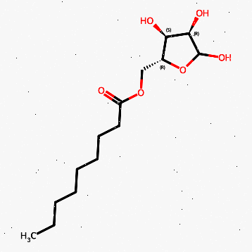 CCCCCCCCC(=O)OC[C@H]1OC(O)[C@H](O)[C@@H]1O